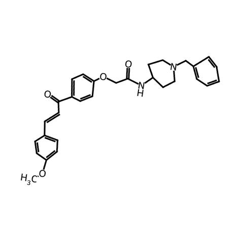 COc1ccc(C=CC(=O)c2ccc(OCC(=O)NC3CCN(Cc4ccccc4)CC3)cc2)cc1